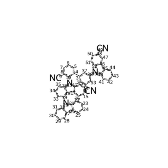 N#Cc1cc(-c2cccc(C#N)c2-n2c3ccccc3c3c(-n4c5ccccc5c5ccccc54)cccc32)cc(-n2c3ccccc3c3cc(C#N)ccc32)c1